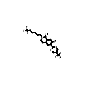 O=c1c2cc(F)c(-c3ncc(C(F)(F)F)cn3)cc2ccn1CCCCCC(F)(F)F